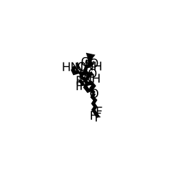 O=C1N[C@@](c2ccc(OCCCCCC(F)(F)F)cc2)(C(F)(F)F)CC(c2cc[nH]n2)=C1C(=O)NS(=O)(=O)C1CC1